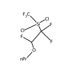 CCCOC(F)C(F)(F)[Si](Cl)(Cl)C(F)(F)F